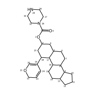 O=C(OC1CC2CCC3C4CCCC4CCC3C2C(C2=COCC=C2)C1)N1CCNCC1